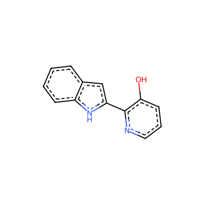 Oc1cccnc1-c1cc2ccccc2[nH]1